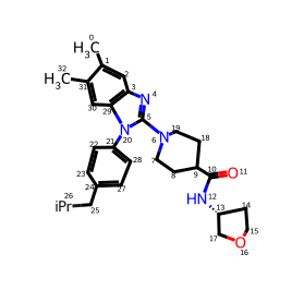 Cc1cc2nc(N3CCC(C(=O)N[C@@H]4CCOC4)CC3)n(-c3ccc(CC(C)C)cc3)c2cc1C